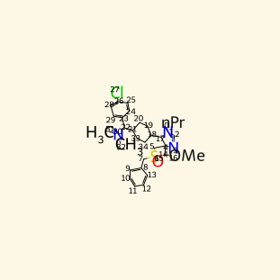 CCCN1C=NC(CSCc2ccccc2)(C(=O)OC)C1C1CCC(C(c2ccc(Cl)cc2)N(C)C)CC1